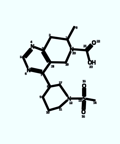 CC1Cc2ncnc(C3CCCN(S(C)(=O)=O)C3)c2CN1C(=O)O